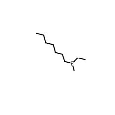 CCCCCCCP(C)CC